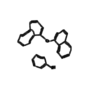 Oc1ccccc1.c1ccc2c(Oc3cccc4ccccc34)cccc2c1